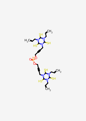 C=CCN1C(S)N(CC#CCO[PH](=O)OCC#CCN2C(S)N(CC=C)C(S)N(CC=C)C2S)C(S)N(CC=C)C1S